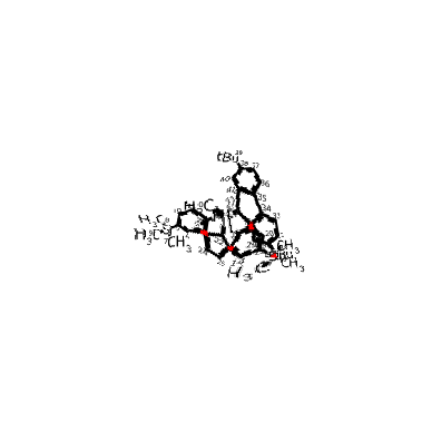 [CH2]=[Hf]([c]1ccc([Si](C)(C)C)cc1)([c]1ccc([Si](C)(C)C)cc1)([CH]1C=CC=C1)[CH]1c2cc(C(C)(C)C)ccc2-c2ccc(C(C)(C)C)cc21